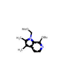 COCn1c(C)c(C)c2ccnc(OCC(C)C)c21